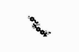 CCOC(=O)C1(c2ccc(-c3ccc(-c4onc(C)c4NC(C)CCc4ccc(OC)cc4)cc3)cc2)CC1